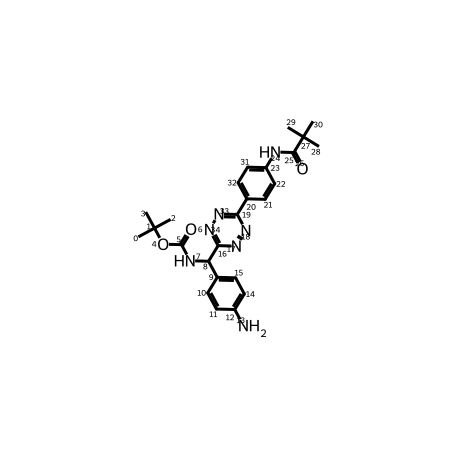 CC(C)(C)OC(=O)NC(c1ccc(N)cc1)c1nnc(-c2ccc(NC(=O)C(C)(C)C)cc2)nn1